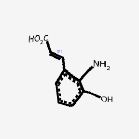 Nc1c(O)cccc1/C=C/C(=O)O